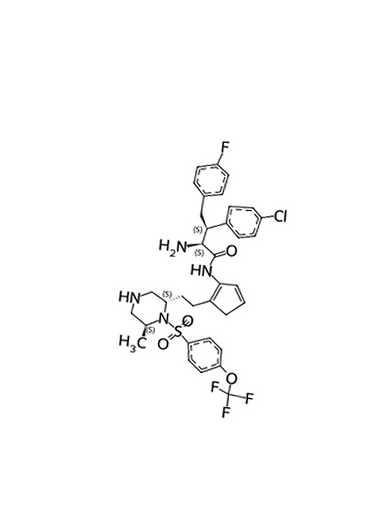 C[C@H]1CNC[C@H](CCC2=C(NC(=O)[C@@H](N)[C@@H](Cc3ccc(F)cc3)c3ccc(Cl)cc3)C=CC2)N1S(=O)(=O)c1ccc(OC(F)(F)F)cc1